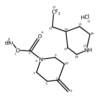 C=C1CCN(C(=O)OC(C)(C)C)CC1.Cl.FC(F)(F)CC1CCNCC1